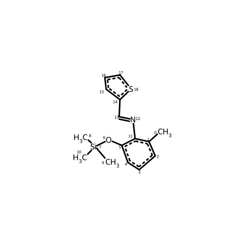 Cc1cccc(O[Si](C)(C)C)c1N=Cc1cccs1